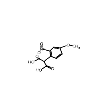 COc1ccc(C(C(=O)O)C(=O)O)c([N+](=O)[O-])c1